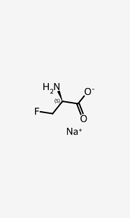 N[C@H](CF)C(=O)[O-].[Na+]